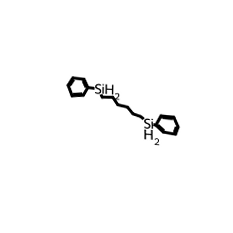 c1ccc([SiH2]CCCCCC[SiH2]c2ccccc2)cc1